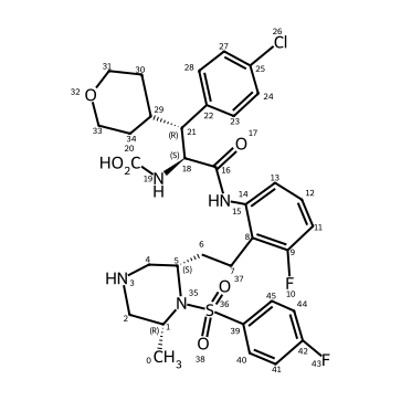 C[C@@H]1CNC[C@H](CCc2c(F)cccc2NC(=O)[C@@H](NC(=O)O)[C@@H](c2ccc(Cl)cc2)C2CCOCC2)N1S(=O)(=O)c1ccc(F)cc1